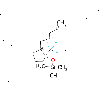 C=CCCC[C@@H]1CCCC1(O[Si](C)(C)C)C(F)(F)F